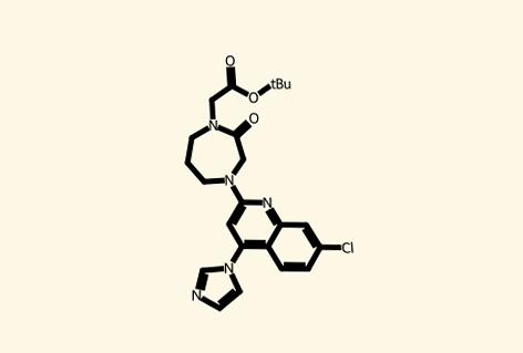 CC(C)(C)OC(=O)CN1CCCN(c2cc(-n3ccnc3)c3ccc(Cl)cc3n2)CC1=O